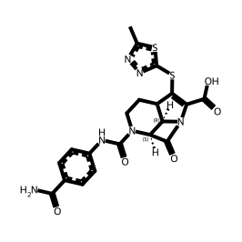 Cc1nnc(SC2=C(C(=O)O)N3C(=O)[C@@H]4[C@H]3C2CCN4C(=O)Nc2ccc(C(N)=O)cc2)s1